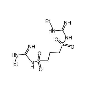 CCNC(=N)NS(=O)(=O)CCCS(=O)(=O)NC(=N)NCC